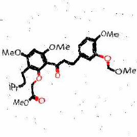 COCOc1cc(CCC(=O)c2c(OC)cc(OC)c(CCC(C)C)c2OCC(=O)OC)ccc1OC